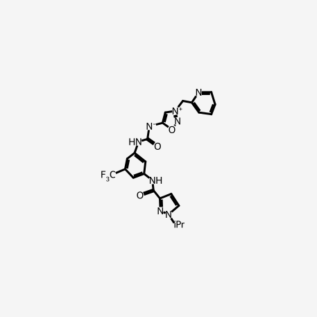 CC(C)n1ccc(C(=O)Nc2cc(NC(=O)[N-]c3c[n+](Cc4ccccn4)no3)cc(C(F)(F)F)c2)n1